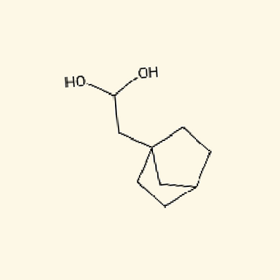 OC(O)CC12CCC(CC1)C2